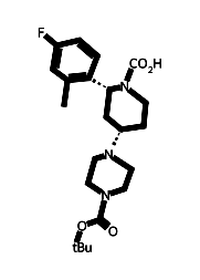 Cc1cc(F)ccc1[C@H]1C[C@@H](N2CCN(C(=O)OC(C)(C)C)CC2)CCN1C(=O)O